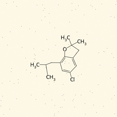 CC(C)Cc1cc(Cl)cc2c1OC(C)(C)C2